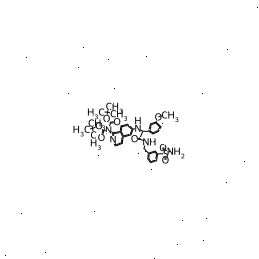 COc1cccc(C(Nc2ccc3c(N(C(=O)OC(C)(C)C)C(=O)OC(C)(C)C)nccc3c2)C(=O)NCc2cccc(S(N)(=O)=O)c2)c1